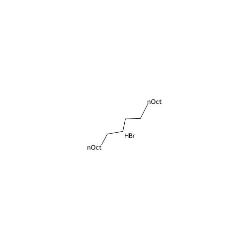 Br.CCCCCCCCCCCCCCCCCCCC